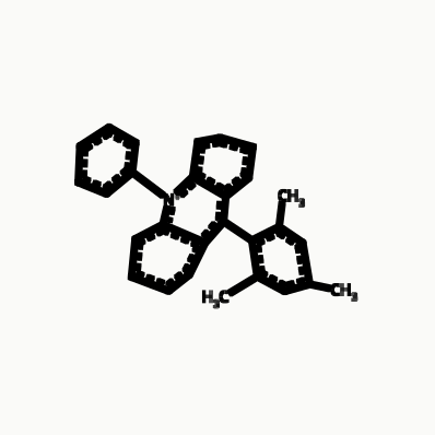 Cc1cc(C)c(-c2c3ccccc3[n+](-c3ccccc3)c3ccccc23)c(C)c1